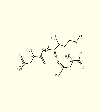 CSCCC(N)C(=O)O.NC(=O)CC(N)C(=O)O.NC(=O)CC(N)C(=O)O